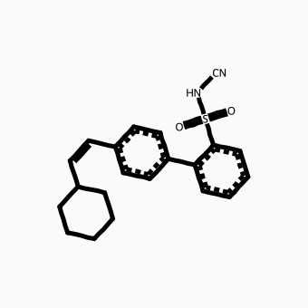 N#CNS(=O)(=O)c1ccccc1-c1ccc(/C=C\C2CCCCC2)cc1